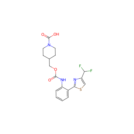 O=C(Nc1ccccc1-c1nc(C(F)F)cs1)OCC1CCN(C(=O)O)CC1